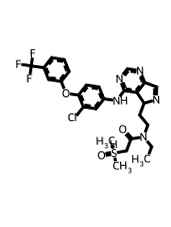 CCN(CCC1N=Cc2ncnc(Nc3ccc(Oc4cccc(C(F)(F)F)c4)c(Cl)c3)c21)C(=O)C[SH](C)(C)=O